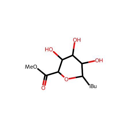 CCC(C)C1OC(C(=O)OC)C(O)C(O)C1O